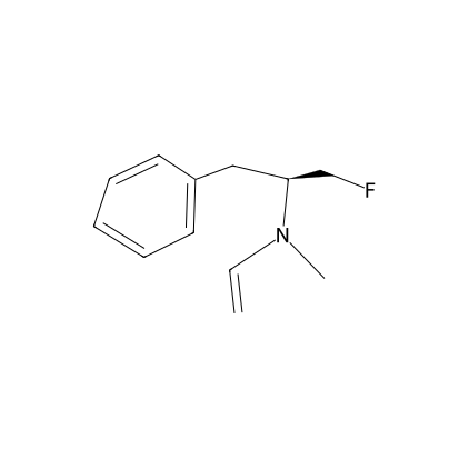 C=CN(C)[C@H](CF)Cc1ccccc1